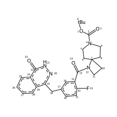 CC(C)(C)OC(=O)N1CCC2(CC1)CCN2C(=O)c1cc(Cc2n[nH]c(=O)c3ccccc23)ccc1F